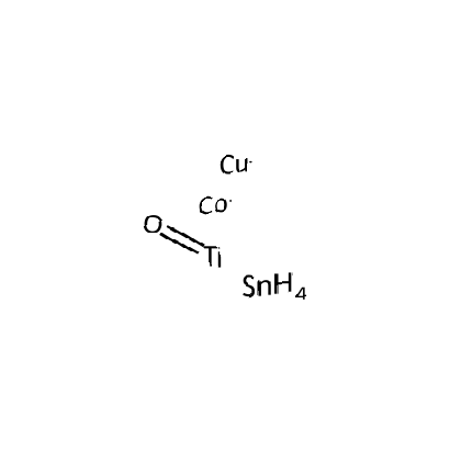 [Co].[Cu].[O]=[Ti].[SnH4]